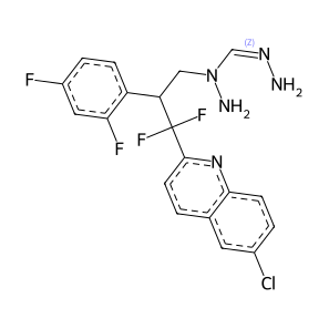 N/N=C\N(N)CC(c1ccc(F)cc1F)C(F)(F)c1ccc2cc(Cl)ccc2n1